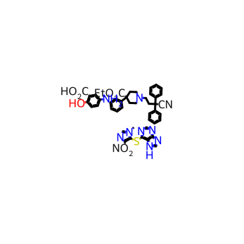 CCOC(=O)C1(c2ccccc2)CCN(CCC(C#N)(c2ccccc2)c2ccccc2)CC1.Cn1cnc([N+](=O)[O-])c1Sc1ncnc2nc[nH]c12.Nc1ccc(O)c(C(=O)O)c1